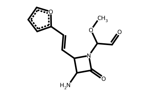 COC(C=O)N1C(=O)C(N)C1C=Cc1ccco1